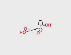 O=C(O)CCCCCCC1C(=O)CCC1C1CCCCCC1=CO